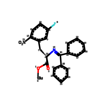 CC(C)(C)OC(=O)[C@H](Cc1cc(F)ccc1[N+](=O)[O-])N=C(c1ccccc1)c1ccccc1